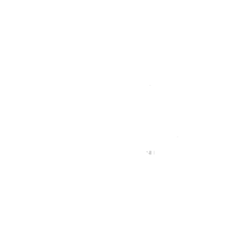 COC(=O)/C=C/c1cc(F)cc(F)c1N